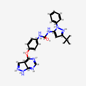 CC(C)(C)c1cc(NC(=O)Nc2ccc(Oc3ncnc4[nH]ncc34)cc2)n(-c2ccccc2)n1